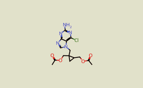 CC(=O)OCC1CC1(COC(C)=O)Cn1cnc2nc(N)nc(Cl)c21